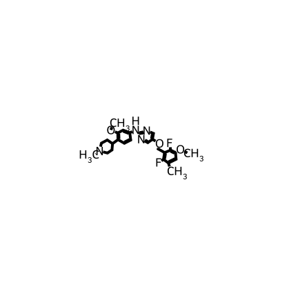 COc1cc(Nc2ncc(OCc3c(F)c(C)cc(OC)c3F)cn2)ccc1C1CCN(C)CC1